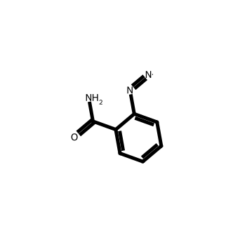 [N]=Nc1ccccc1C(N)=O